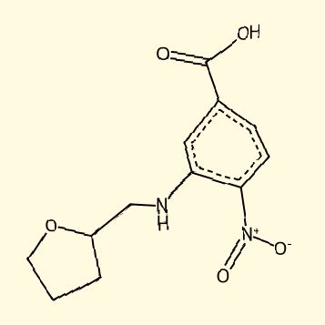 O=C(O)c1ccc([N+](=O)[O-])c(NCC2CCCO2)c1